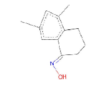 Cc1cc(C)c2c(c1)/C(=N/O)CCC2